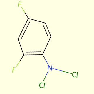 Fc1ccc(N(Cl)Cl)c(F)c1